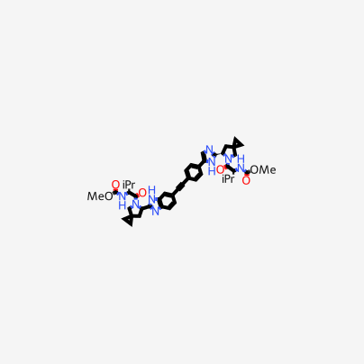 COC(=O)N[C@H](C(=O)N1CC2(CC2)CC1c1nc2ccc(C#Cc3ccc(-c4cnc([C@@H]5CC6(CC6)CN5C(=O)[C@@H](NC(=O)OC)C(C)C)[nH]4)cc3)cc2[nH]1)C(C)C